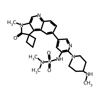 CNC1CCN(c2ncc(-c3ccc4ncc5c(c4c3)C3(CCC3)C(=O)N5C)cc2NS(=O)(=O)N(C)C)CC1